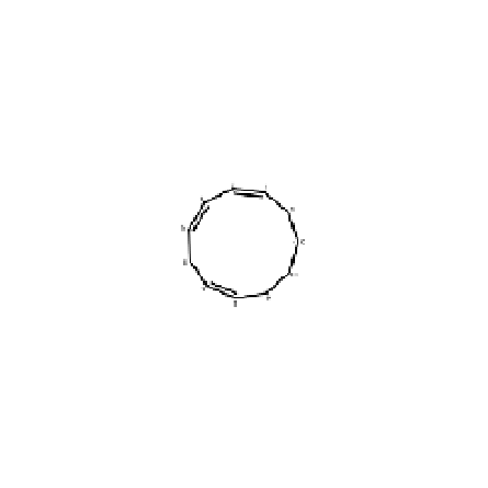 [CH]1CC=CC=CCC=CCC1